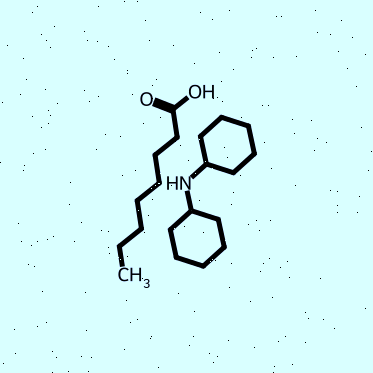 C1CCC(NC2CCCCC2)CC1.CCCCCCCC(=O)O